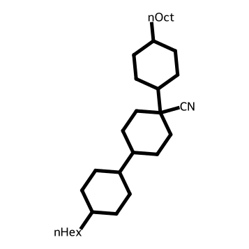 CCCCCCCCC1CCC(C2(C#N)CCC(C3CCC(CCCCCC)CC3)CC2)CC1